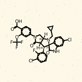 O=C(O)c1ccc(N2C[C@H]3[C@@H](C2=O)[C@H](c2cccc(Cl)c2F)[C@]2(C(=O)Nc4cc(Cl)ccc42)N3CC2CC2)cc1OC(F)(F)F